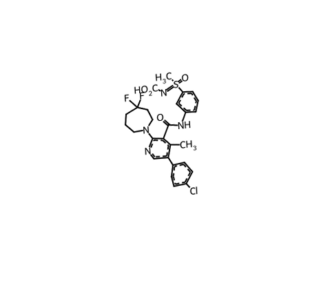 Cc1c(-c2ccc(Cl)cc2)cnc(N2CCCC(F)(F)CC2)c1C(=O)Nc1cccc(S(C)(=O)=NC(=O)O)c1